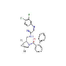 O=C(c1ccccc1-c1ccccc1)N1C[C@H]2C[C@H]2[C@H]1CNc1cnc2cc(F)c(F)cc2n1